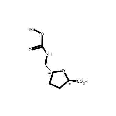 CC(C)(C)OC(=O)NC[C@H]1CC[C@H](C(=O)O)O1